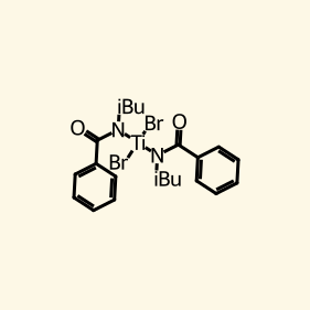 CCC(C)[N](C(=O)c1ccccc1)[Ti]([Br])([Br])[N](C(=O)c1ccccc1)C(C)CC